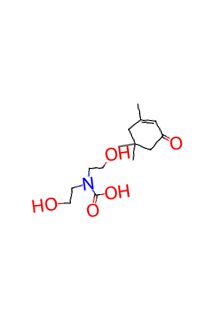 CC1=CC(=O)CC(C)(C)C1.O=C(O)N(CCO)CCO